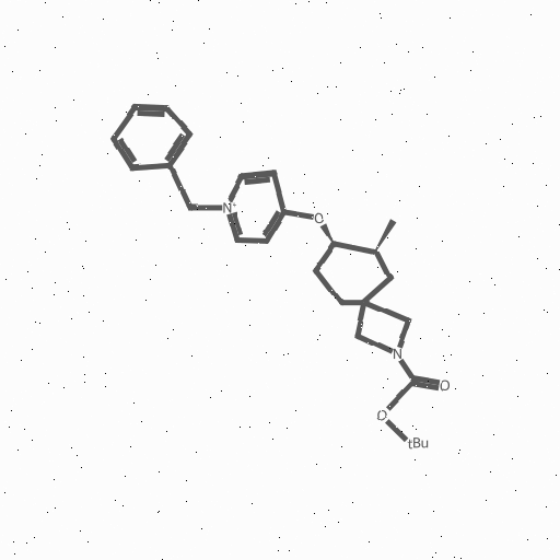 C[C@H]1CC2(CC[C@H]1Oc1cc[n+](Cc3ccccc3)cc1)CN(C(=O)OC(C)(C)C)C2